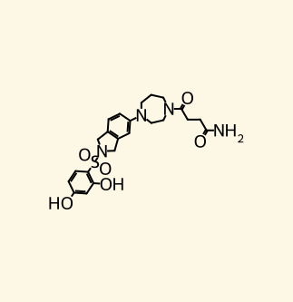 NC(=O)CCC(=O)N1CCCN(c2ccc3c(c2)CN(S(=O)(=O)c2ccc(O)cc2O)C3)CC1